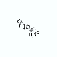 NC(=O)[C@@H]1CC[C@H](c2ccc(NCc3ccccc3F)cc2)N1